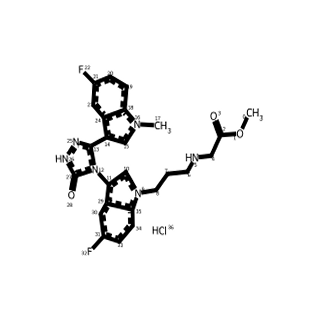 COC(=O)CNCCCn1cc(-n2c(-c3cn(C)c4ccc(F)cc34)n[nH]c2=O)c2cc(F)ccc21.Cl